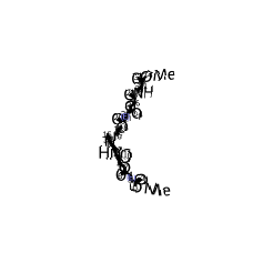 COC(=O)/C=C/C(=O)OCC(=O)NCCN(C)CCOC(=O)/C=C/C(=O)OCC(=O)NCCC(=O)OC